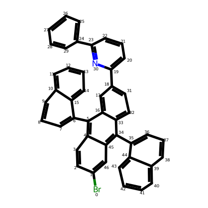 Brc1ccc2c(-c3cccc4ccccc34)c3cc(-c4cccc(-c5ccccc5)n4)ccc3c(-c3cccc4ccccc34)c2c1